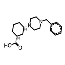 O=C(O)[C@@H]1CCC[C@H](N2CCN(Cc3ccccc3)CC2)C1